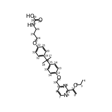 C=C(OCC)c1nccc(COc2ccc(C(C)(C)c3ccc(OCCCNC(=O)O)cc3)cc2)n1